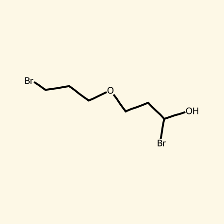 OC(Br)CCOCCCBr